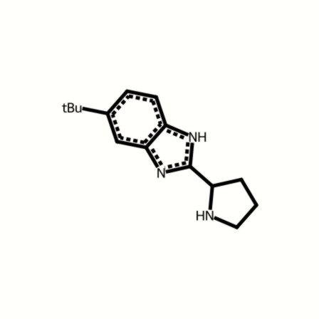 CC(C)(C)c1ccc2[nH]c(C3CCCN3)nc2c1